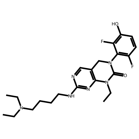 CCN(CC)CCCCNc1ncc2c(n1)N(CC)C(=O)N(c1c(F)ccc(O)c1F)C2